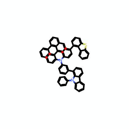 c1ccc(-c2cccc3cccc(-c4ccccc4N(c4ccc(-c5cccc6sc7ccccc7c56)cc4)c4cccc(-c5cccc6c7ccccc7n(-c7ccccc7)c56)c4)c23)cc1